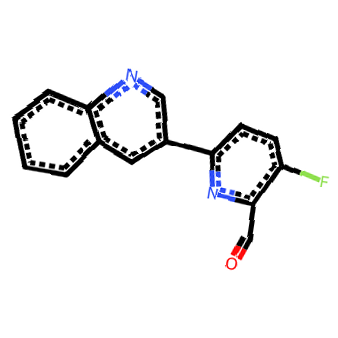 O=Cc1nc(-c2cnc3ccccc3c2)ccc1F